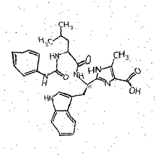 Cc1[nH]c([C@@H](Cc2c[nH]c3ccccc23)NC(=O)C(CC(C)C)NC(=O)Nc2ccccc2)nc1C(=O)O